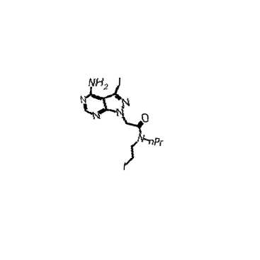 CCCN(CCI)C(=O)Cn1nc(I)c2c(N)ncnc21